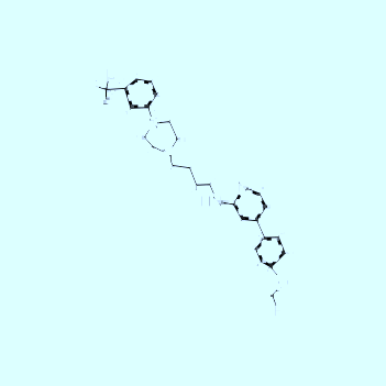 FCOc1ccc(-c2ccnc(NCCCCN3CCN(c4cccc(C(F)(F)F)c4)CC3)c2)cc1